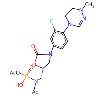 CC(=O)OP(=O)(O)N(C[C@H]1CN(c2ccc(N3C=NN(C)CC3)c(F)c2)C(=O)O1)C(C)=O